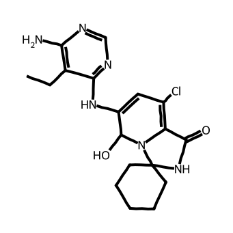 CCc1c(N)ncnc1NC1=CC(Cl)=C2C(=O)NC3(CCCCC3)N2C1O